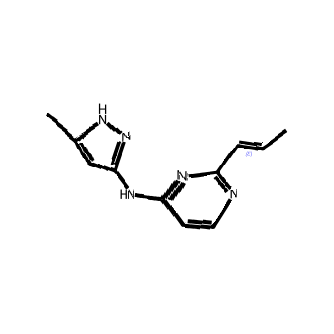 C/C=C/c1nccc(Nc2cc(C)[nH]n2)n1